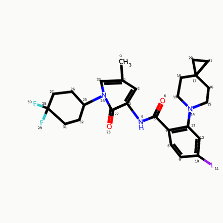 Cc1cc(NC(=O)c2ccc(I)cc2N2CCC3(CC2)CC3)c(=O)n(C2CCC(F)(F)CC2)c1